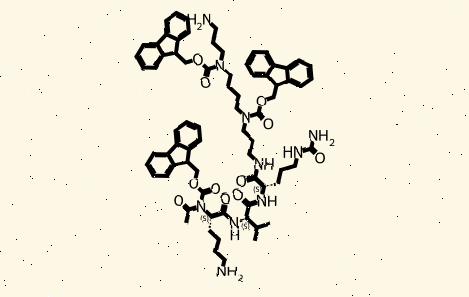 CC(=O)N(C(=O)OCC1c2ccccc2-c2ccccc21)[C@@H](CCCCN)C(=O)N[C@H](C(=O)N[C@@H](CCCNC(N)=O)C(=O)NCCCN(CCCCN(CCCN)C(=O)OCC1c2ccccc2-c2ccccc21)C(=O)OCC1c2ccccc2-c2ccccc21)C(C)C